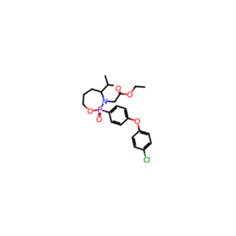 CCOC(=O)CN1C(C(C)C)CCCOP1(=O)c1ccc(Oc2ccc(Cl)cc2)cc1